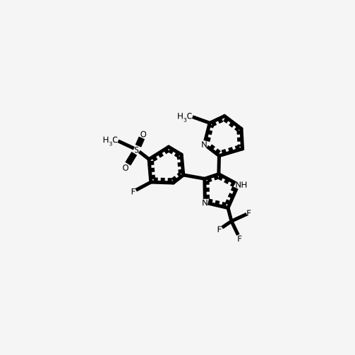 Cc1cccc(-c2[nH]c(C(F)(F)F)nc2-c2ccc(S(C)(=O)=O)c(F)c2)n1